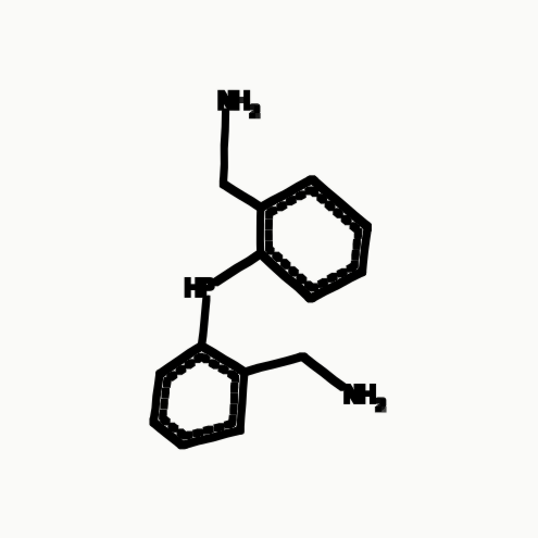 NCc1ccccc1Pc1ccccc1CN